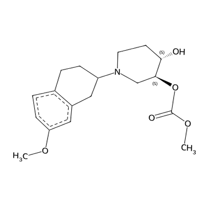 COC(=O)O[C@H]1CN(C2CCc3ccc(OC)cc3C2)CC[C@@H]1O